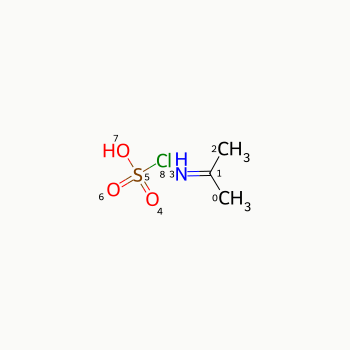 CC(C)=N.O=S(=O)(O)Cl